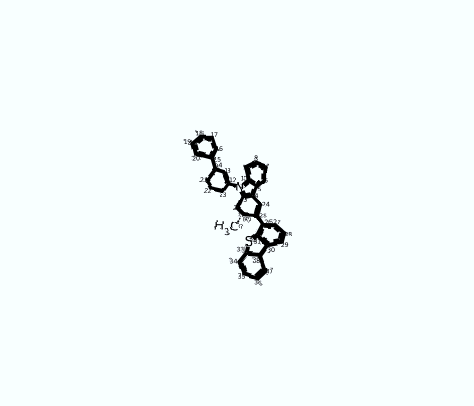 C[C@@H]1Cc2c(c3ccccc3n2C2=CC(c3ccccc3)CCC2)C=C1c1cccc2c1SC1C=CC=CC21